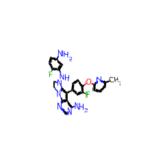 Cc1cccc(Oc2ccc(-c3c4n(c5ncnc(N)c35)CCN4Nc3cc(N)ccc3F)cc2F)n1